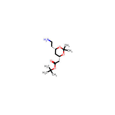 CC(C)(C)OC(=O)C[C@@H]1C[C@H](CCN)OC(C)(C)O1